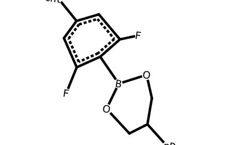 CCCCCc1cc(F)c(B2OCC(CCCCC)CO2)c(F)c1